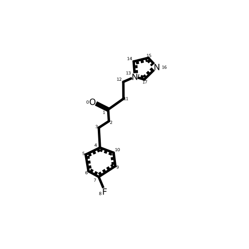 O=C(CCc1ccc(F)cc1)CCn1ccnc1